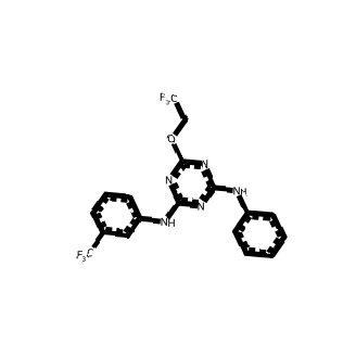 FC(F)(F)COc1nc(Nc2ccccc2)nc(Nc2cccc(C(F)(F)F)c2)n1